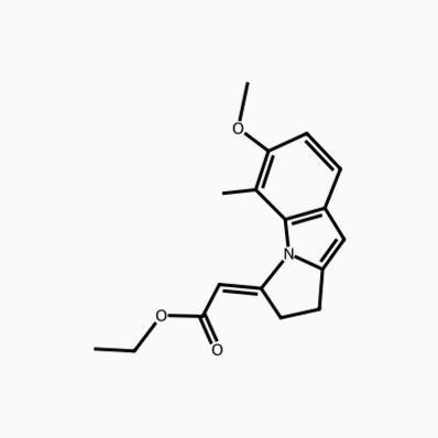 CCOC(=O)C=C1CCc2cc3ccc(OC)c(C)c3n21